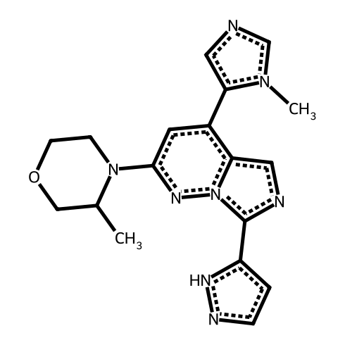 CC1COCCN1c1cc(-c2cncn2C)c2cnc(-c3ccn[nH]3)n2n1